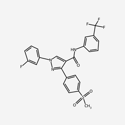 CS(=O)(=O)c1ccc(-c2nn(-c3cccc(F)c3)cc2C(=O)Nc2cccc(C(F)(F)F)c2)cc1